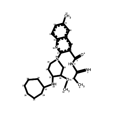 CCC(=N)NC(=O)c1cc2cc(C)ccc2nc1N1CCC(NC2CCCCCC2)C(OC)C1